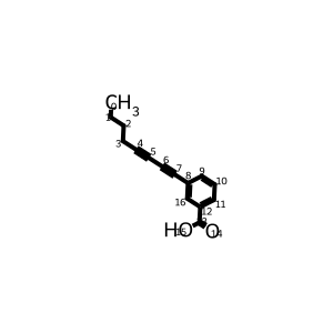 CCCCC#CC#Cc1cccc(C(=O)O)c1